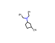 CC(C)CN(CC(C)C)C1CCC(C#N)C1